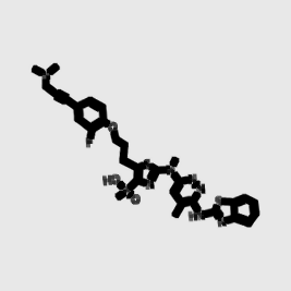 Cc1cc(N(C)c2nc(P(C)(=O)O)c(CCCOc3ccc(C#CCN(C)C)cc3F)s2)nnc1Nc1nc2ccccc2s1